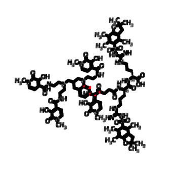 Cc1c(C)c(S(=O)(=O)NC(=N)NCCC[C@@H](NC(=O)[C@@H](CCCNC(=N)NS(=O)(=O)c2c(C)c(C)c3c(c2C)CC(C)(C)O3)NC(=O)CCC(=O)Nc2ccc(CC(CN(CCNC(=O)c3ccn(C)c(=O)c3O)CCNC(=O)c3ccn(C)c(=O)c3O)CN(CCNC(=O)c3ccn(C)c(=O)c3O)CCNC(=O)c3ccn(C)c(=O)c3O)cc2)C(=O)O)c(C)c2c1OC(C)(C)C2